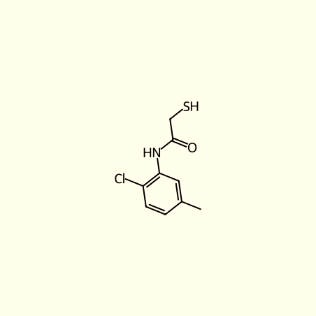 Cc1ccc(Cl)c(NC(=O)CS)c1